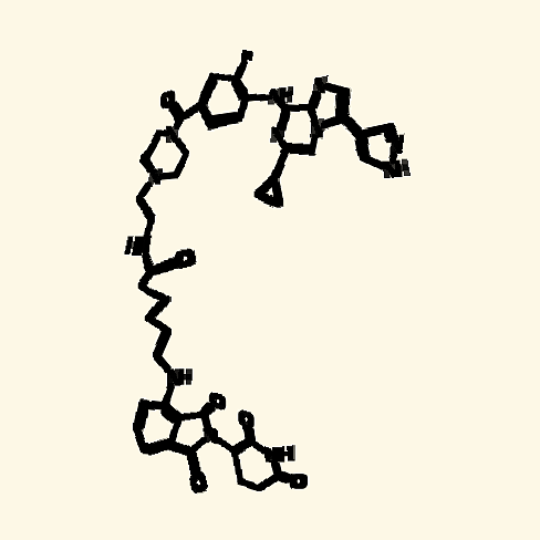 O=C(CCCCCNc1cccc2c1C(=O)N(C1CCC(=O)NC1=O)C2=O)NCCN1CCN(C(=O)c2ccc(Nc3nc(C4CC4)cn4c(-c5cn[nH]c5)cnc34)c(F)c2)CC1